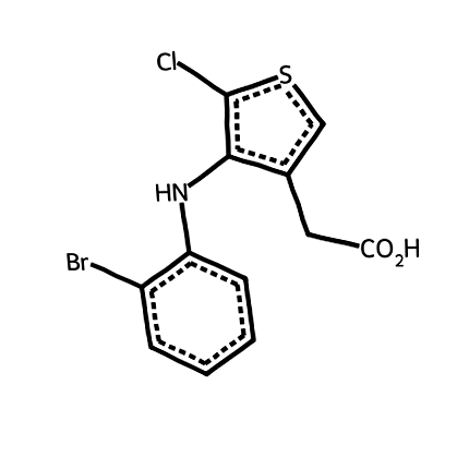 O=C(O)Cc1csc(Cl)c1Nc1ccccc1Br